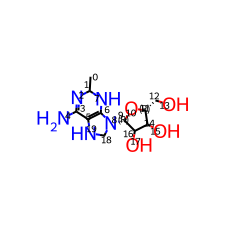 CC1N=C(N)C2=C(N1)N([C@@H]1O[C@H](CO)C(O)C1O)CN2